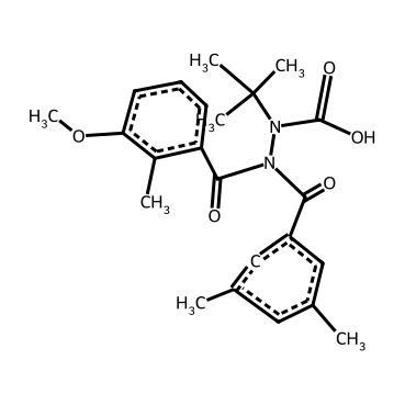 COc1cccc(C(=O)N(C(=O)c2cc(C)cc(C)c2)N(C(=O)O)C(C)(C)C)c1C